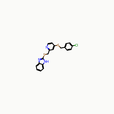 Clc1ccc(CSc2ccnc(CSc3nc4ccccc4[nH]3)c2)cc1